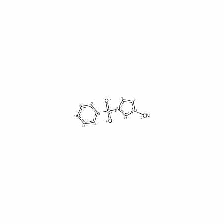 N#Cc1ccn(S(=O)(=O)c2ccccc2)c1